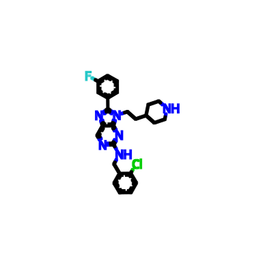 Fc1cccc(-c2nc3cnc(NCc4ccccc4Cl)nc3n2CCC2CCNCC2)c1